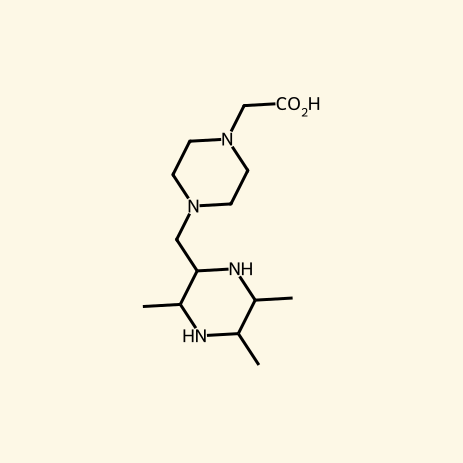 CC1NC(C)C(CN2CCN(CC(=O)O)CC2)NC1C